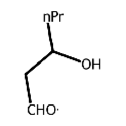 CCCC(O)C[C]=O